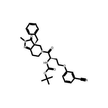 CN1N=C2CCN(C(=O)[C@@H](CCOc3cccc(C#N)c3)NC(=O)OC(C)(C)C)C[C@@]2(Cc2ccccc2)C1=O